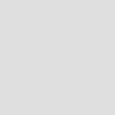 C=CC(=O)OCS(=O)(=O)O.c1ccc(-c2ccccc2)cc1